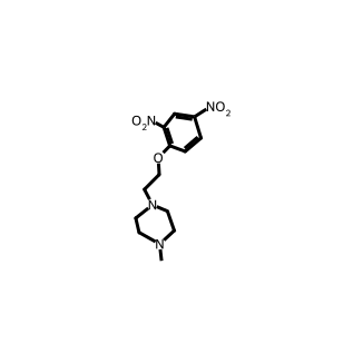 CN1CCN(CCOc2ccc([N+](=O)[O-])cc2[N+](=O)[O-])CC1